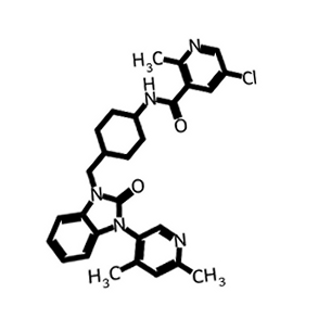 Cc1cc(C)c(-n2c(=O)n(CC3CCC(NC(=O)c4cc(Cl)cnc4C)CC3)c3ccccc32)cn1